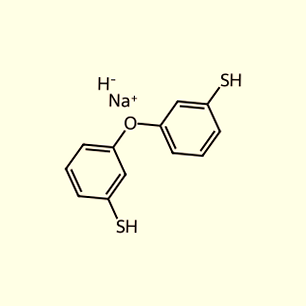 Sc1cccc(Oc2cccc(S)c2)c1.[H-].[Na+]